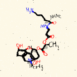 CC(=O)N[C@@H](CCCCN)C(=O)NCCC(=O)O[C@@H](C)C(=O)OC1=CC[C@@]2(O)[C@H]3Cc4ccc(O)c5c4[C@@]2(CCN3C)[C@H]1O5